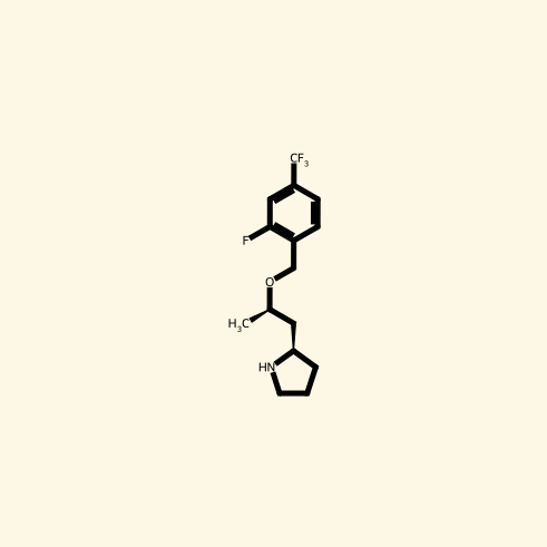 C[C@H](C[C@H]1CCCN1)OCc1ccc(C(F)(F)F)cc1F